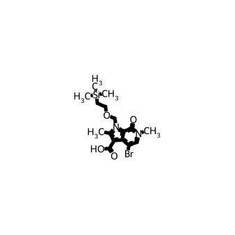 Cc1c(C(=O)O)c2c(Br)cn(C)c(=O)c2n1COCC[Si](C)(C)C